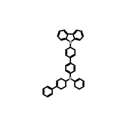 C1=CCCC(N(c2ccc(C3=CCC(n4c5ccccc5c5ccccc54)C=C3)cc2)C2CC=C(c3ccccc3)CC2)=C1